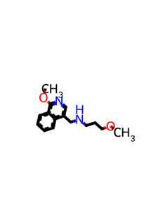 COCCCNCc1cnc(OC)c2ccccc12